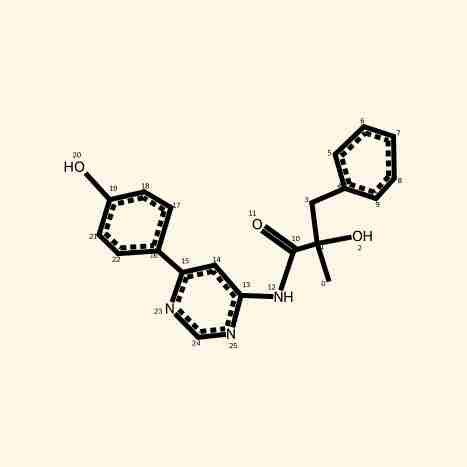 CC(O)(Cc1ccccc1)C(=O)Nc1cc(-c2ccc(O)cc2)ncn1